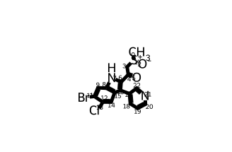 C[S+]([O-])CC(=O)c1[nH]c2cc(Br)c(Cl)cc2c1-c1cccnc1